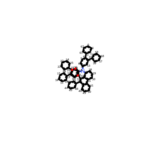 c1ccc(-c2ccc(N(c3ccc(-c4ccccc4)c(-c4ccccc4)c3)c3cccc4c3c(-c3ccccc3)c(-c3ccccc3)c3ccccc34)cc2-c2ccccc2)cc1